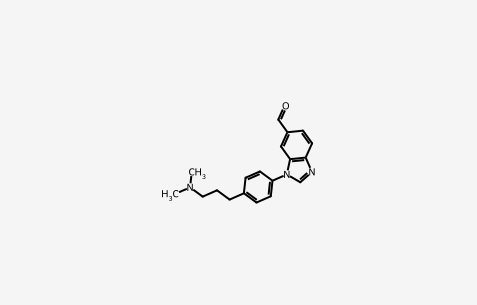 CN(C)CCCc1ccc(-n2cnc3ccc(C=O)cc32)cc1